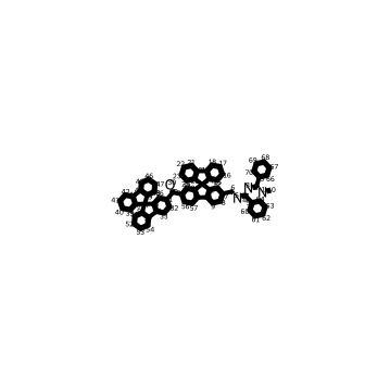 C=N/C(=N\C(=N/Cc1ccc2c(c1)C1(c3ccccc3-c3ccccc31)c1cc(C(=O)c3ccc4c(c3)C3(c5ccccc5-c5ccccc53)c3ccccc3-4)ccc1-2)c1ccccc1)c1ccccc1